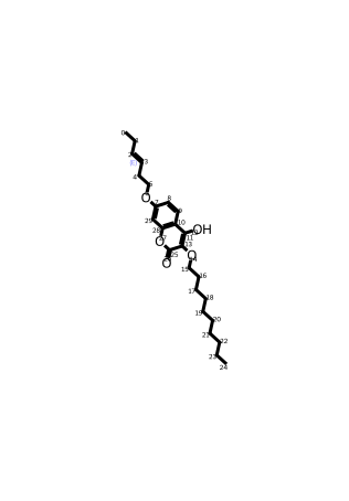 CC/C=C/CCOc1ccc2c(O)c(OCCCCCCCCCC)c(=O)oc2c1